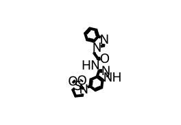 O=C(Cn1cnc2ccccc21)Nc1n[nH]c2ccc(N3CCCS3(=O)=O)cc12